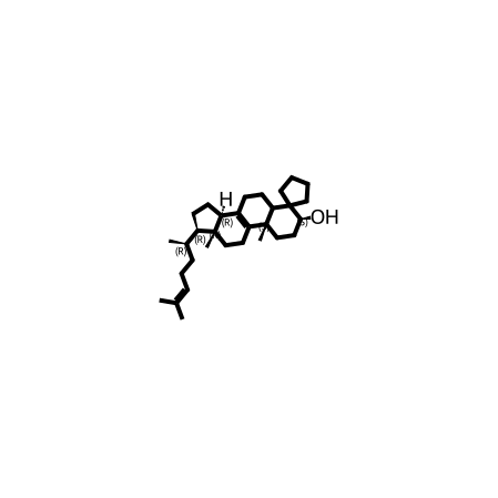 CC(C)=CCC[C@@H](C)[C@H]1CC[C@H]2C3=C(CC[C@]12C)[C@@]1(C)CC[C@H](O)C2(CCCC2)C1CC3